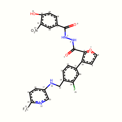 O=C(NNC(=O)c1occc1-c1ccc(CNc2ccc(C(F)(F)F)nc2)c(F)c1)c1ccc(O)c([N+](=O)[O-])c1